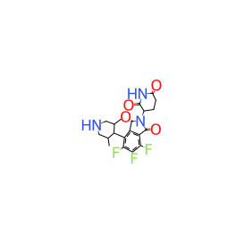 CC1CNCC(C)C1c1c(F)c(F)c(F)c2c1C(=O)N(C1CCC(=O)NC1=O)C2=O